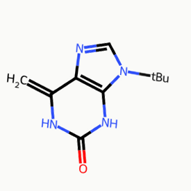 C=C1NC(=O)Nc2c1ncn2C(C)(C)C